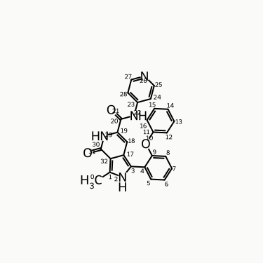 Cc1[nH]c(-c2ccccc2Oc2ccccc2)c2cc(C(=O)Nc3ccncc3)[nH]c(=O)c12